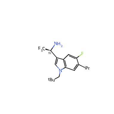 CC(C)c1cc2c(cc1F)c([C@H](N)C(F)(F)F)cn2CC(C)(C)C